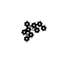 c1ccc(-c2cccc(-c3ccc(-n4c5ccccc5c5ccc(-c6cccc7c8ccccc8n(-c8ccccc8)c67)cc54)c4oc5ccccc5c34)c2)cc1